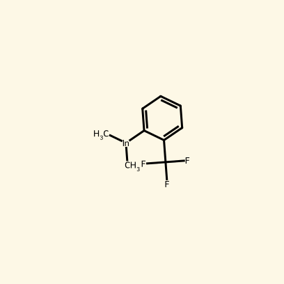 [CH3][In]([CH3])[c]1ccccc1C(F)(F)F